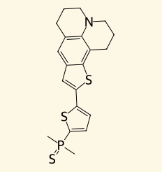 CP(C)(=S)c1ccc(-c2cc3cc4c5c(c3s2)CCCN5CCC4)s1